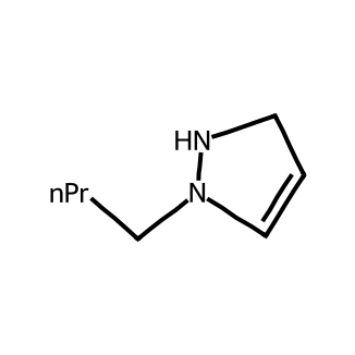 CCCCN1C=CCN1